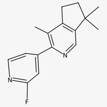 Cc1c(-c2ccnc(F)c2)ncc2c1CCC2(C)C